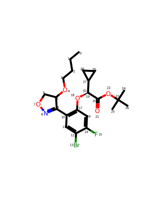 CCCCOC1CON=C1c1cc(Br)c(F)cc1O[C@H](C(=O)OC(C)(C)C)C1CC1